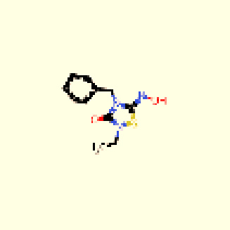 CCn1sc(=NO)n(Cc2ccccc2)c1=O